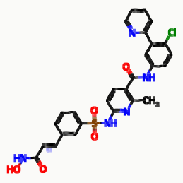 Cc1nc(NS(=O)(=O)c2cccc(/C=C/C(=O)NO)c2)ccc1C(=O)Nc1ccc(Cl)c(-c2ccccn2)c1